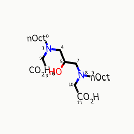 CCCCCCCCN(CC(=O)O)CC(O)CN(CCCCCCCC)CC(=O)O